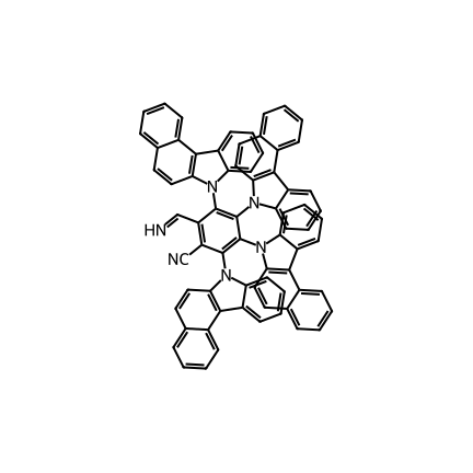 N#Cc1c(C=N)c(-n2c3ccccc3c3c4ccccc4ccc32)c(-n2c3ccccc3c3c4ccccc4ccc32)c(-n2c3ccccc3c3c4ccccc4ccc32)c1-n1c2ccccc2c2c3ccccc3ccc21